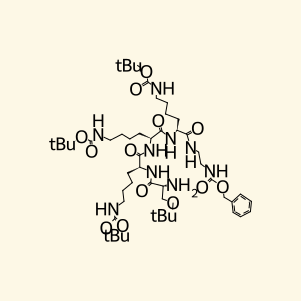 CC(C)(C)OC[C@H](N)C(=O)N[C@@H](CCCCNC(=O)OC(C)(C)C)C(=O)N[C@@H](CCCCNC(=O)OC(C)(C)C)C(=O)N[C@@H](CCCCNC(=O)OC(C)(C)C)C(=O)NCCNC(=O)OCc1ccccc1